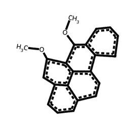 COc1cc2cccc3ccc4c5ccccc5c(OC)c1c4c32